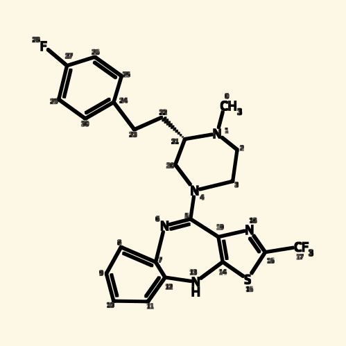 CN1CCN(C2=Nc3ccccc3Nc3sc(C(F)(F)F)nc32)C[C@@H]1CCc1ccc(F)cc1